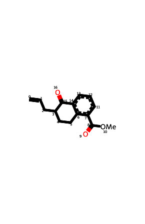 C=CCC1CCc2c(C(=O)OC)cccc2C1=O